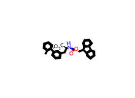 Cc1ccccc1-c1cccc(C[C@H](NC(=O)OCC2c3ccccc3-c3ccccc32)C(=O)O)c1